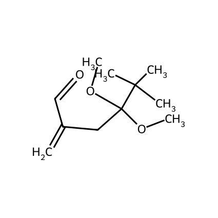 C=C(C=O)CC(OC)(OC)C(C)(C)C